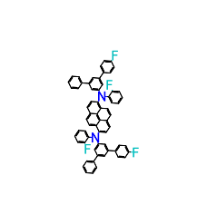 Fc1ccc(-c2cc(-c3ccccc3)cc(N(c3ccccc3F)c3ccc4ccc5c(N(c6cc(-c7ccccc7)cc(-c7ccc(F)cc7)c6)c6ccccc6F)ccc6ccc3c4c65)c2)cc1